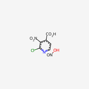 O=C(O)c1ccnc(Cl)c1[N+](=O)[O-].O=NO